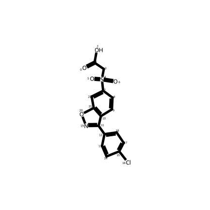 O=C(O)CS(=O)(=O)c1ccc2c(-c3ccc(Cl)cc3)noc2c1